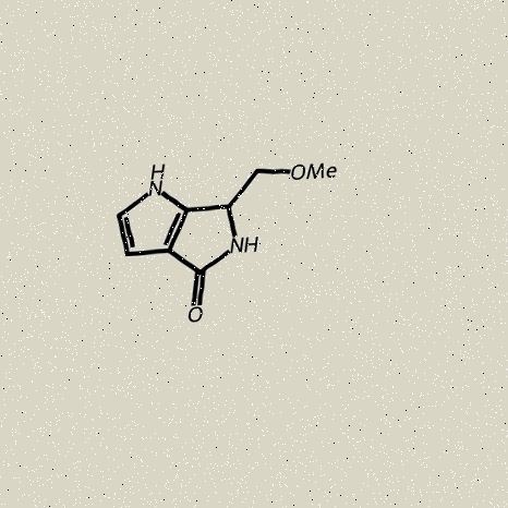 COCC1NC(=O)c2cc[nH]c21